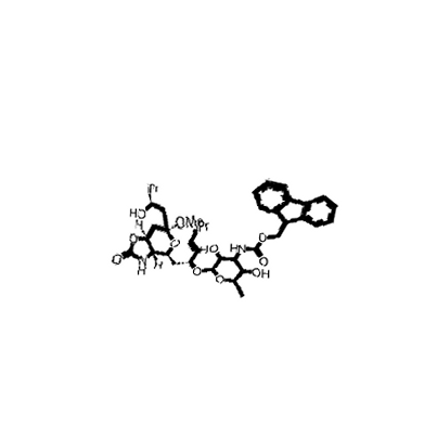 CO[C@@]1(C[C@@H](O)C(C)C)C[C@@H]2OC(=O)N[C@H]2[C@H](C[C@H](/C=C/C(C)C)OC2OC(C)C(O)C(NC(=O)OCC3c4ccccc4-c4ccccc43)C2O)O1